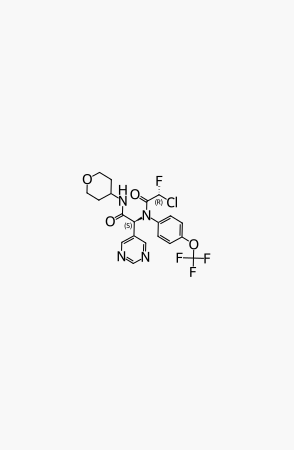 O=C(NC1CCOCC1)[C@H](c1cncnc1)N(C(=O)[C@H](F)Cl)c1ccc(OC(F)(F)F)cc1